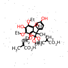 C=C(C)C(=O)O.C=C(C)C(=O)O.CCOc1c(O)c(OCC)c(OCC)c(C(C)(c2ccc(O)cc2)C(OCC)(OCC)OCC)c1OCC